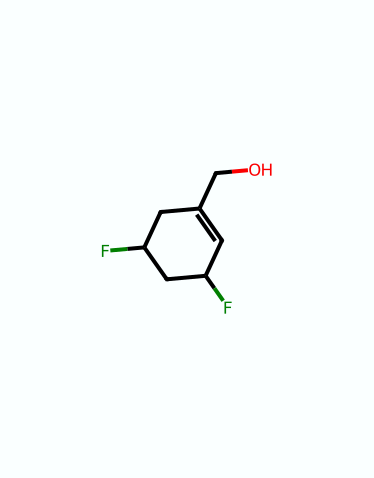 OCC1=CC(F)CC(F)C1